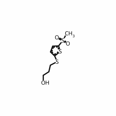 CS(=O)(=O)c1ccc(SCCCO)s1